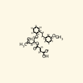 COc1cccc(CCc2ccccc2OCC(CN(C)C)OC(=O)/C=C/C(=O)O)c1